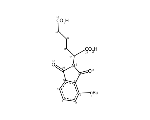 CCCCc1cccc2c1C(=O)N(C(CCCC(=O)O)C(=O)O)C2=O